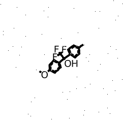 COc1ccc(C(O)(c2ccc(C)cc2)C(F)(F)F)cc1